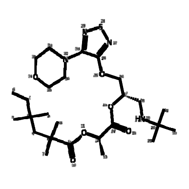 CCC(C)(C)CC(C)(C)C(=O)O[C@H](C)C(=O)O[C@@H](CNC(C)(C)C)COc1nsnc1N1CCOCC1